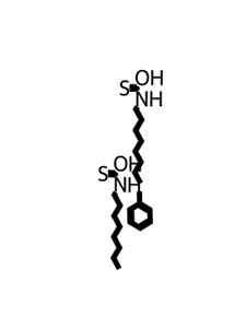 CCCCCCCCNC(O)=S.CCCCCCCCNC(O)=S.Cc1ccccc1